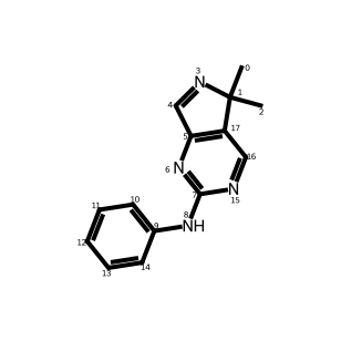 CC1(C)N=Cc2nc(Nc3ccccc3)ncc21